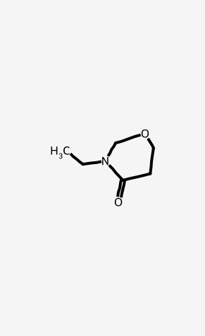 CCN1COCCC1=O